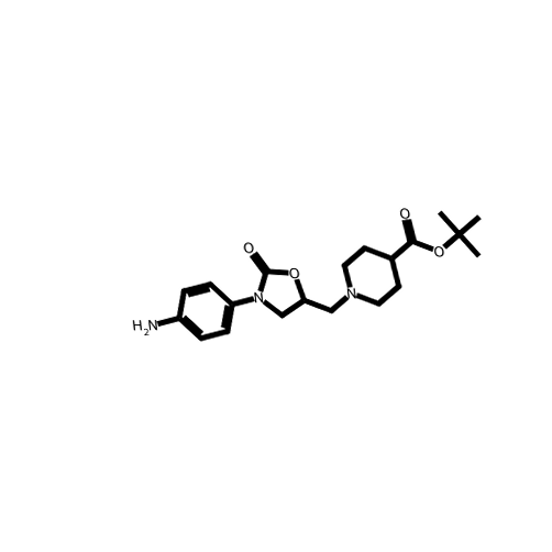 CC(C)(C)OC(=O)C1CCN(CC2CN(c3ccc(N)cc3)C(=O)O2)CC1